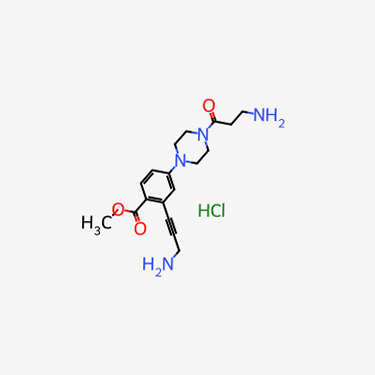 COC(=O)c1ccc(N2CCN(C(=O)CCN)CC2)cc1C#CCN.Cl